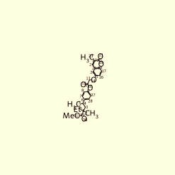 CCC(C)(CC(C)c1ccc(OC(=O)COc2ccc3oc(=O)c(C)cc3c2)cc1)C(=O)OC